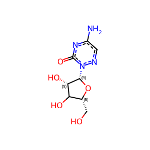 Nc1cnn([C@@H]2O[C@H](CO)C(O)[C@@H]2O)c(=O)n1